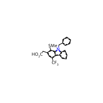 CSc1c(CC(=O)O)cc(C(F)(F)F)c2c3ccccc3n(Cc3ccccc3)c12